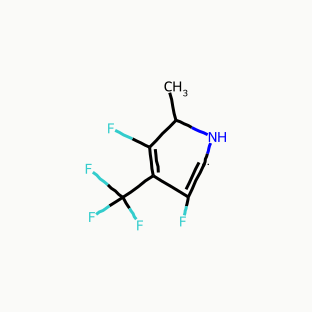 CC1N[C]=C(F)C(C(F)(F)F)=C1F